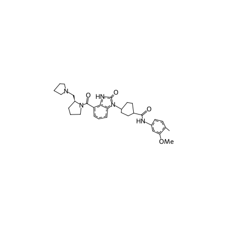 COc1cc(NC(=O)C2CCC(n3c(=O)[nH]c4c(C(=O)N5CCC[C@H]5CN5CCCC5)cccc43)CC2)ccc1C